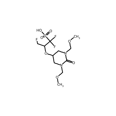 COCN1CC(OC(CF)C(F)(F)S(=O)(=O)O)CN(COC)C1=O